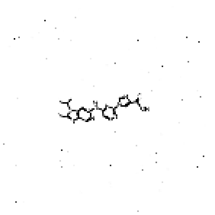 Cc1nc2cnc(Nc3ccnc(-n4cnc(C(=O)O)c4)n3)cc2n1C(C)C